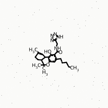 CCCCCc1cc2c(c(O)c1C(=O)NCc1nnn[nH]1)C1C=C(C)CCC1C(C)(C)O2